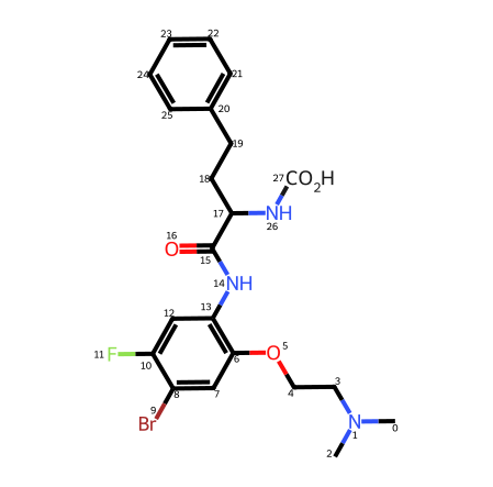 CN(C)CCOc1cc(Br)c(F)cc1NC(=O)C(CCc1ccccc1)NC(=O)O